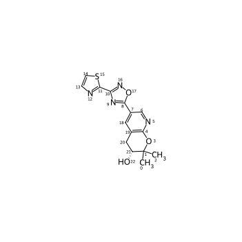 CC1(C)Oc2ncc(-c3nc(-c4nccs4)no3)cc2C[C@H]1O